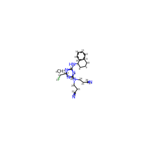 C[C@@H](F)c1nc(N[C@@H]2CCCc3ccccc32)nc(N(CCC#N)CCC#N)n1